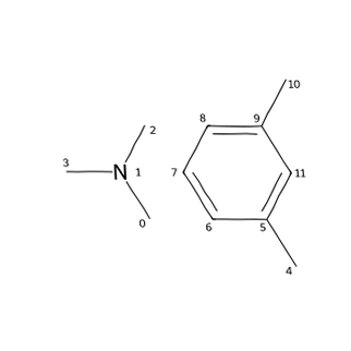 CN(C)C.Cc1cccc(C)c1